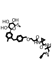 C#CCN(C)CC(C)(C)NC(=O)C1(NC(=O)CCOCc2ccc(Cc3cc([C@@H]4O[C@H](SC)[C@@H](O)[C@H](O)[C@H]4O)ccc3C)cc2)CC1